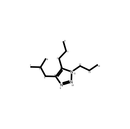 CCCc1c(CC(C)C)nnn1CCC